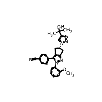 COc1ccccc1-n1nc2c(c1-c1ccc(C#N)cc1)C[C@H](n1cc(C(C)(C)O)nn1)C2